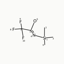 C[Si](C)(C)N=C([O])C(F)(F)F